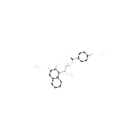 O=C(O)c1ccc(C(=O)OCC(O)c2c(C(=O)O)c(C(=O)O)cc3ccccc23)cc1